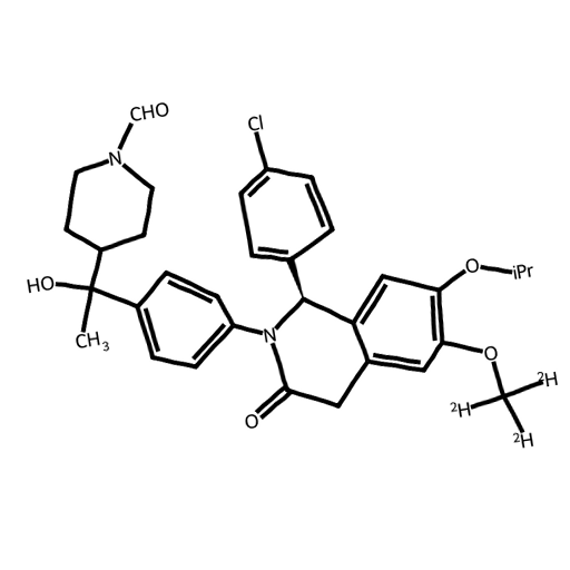 [2H]C([2H])([2H])Oc1cc2c(cc1OC(C)C)[C@H](c1ccc(Cl)cc1)N(c1ccc(C(C)(O)C3CCN(C=O)CC3)cc1)C(=O)C2